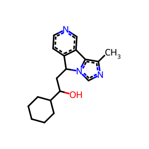 Cc1ncn2c1-c1cnccc1C2CC(O)C1CCCCC1